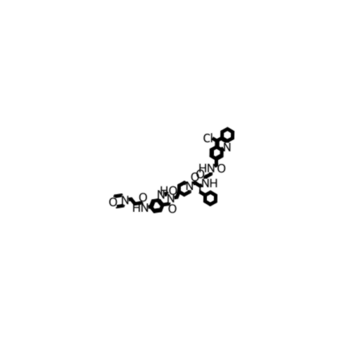 O=C(CCN1CCOCC1)Nc1ccc2c(=O)n(CC3(O)CCN(C(=O)[C@H](CC4CCCCC4)NC(=O)CNC(=O)c4ccc5c(Cl)c6c(nc5c4)CCCC6)CC3)cnc2c1